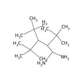 CC(C)(C)C(C(N)N)C(C(C)(C)C)C(C)(C)C